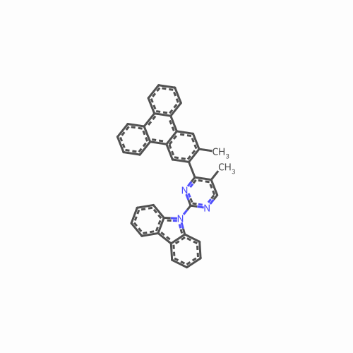 Cc1cc2c3ccccc3c3ccccc3c2cc1-c1nc(-n2c3ccccc3c3ccccc32)ncc1C